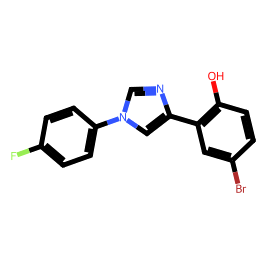 Oc1ccc(Br)cc1-c1cn(-c2ccc(F)cc2)cn1